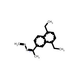 C=N/N=C(/C)c1ccc2c(CC)ccc(CC)c2c1